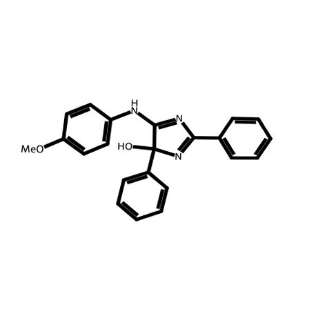 COc1ccc(NC2=NC(c3ccccc3)=NC2(O)c2ccccc2)cc1